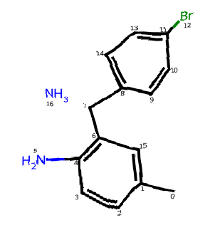 Cc1ccc(N)c(Cc2ccc(Br)cc2)c1.N